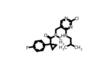 CC(C)CNc1nc(Cl)ncc1CN(C)C(=O)C1(c2ccc(F)cc2)CC1